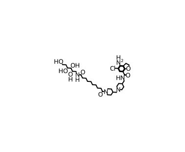 Nc1c(Cl)cc(C(=O)NCC2CCN(CC3CCN(C(=O)CCCCCCCCC(=O)NCC(O)C(O)C(O)CCO)CC3)CC2)c2c1CCO2